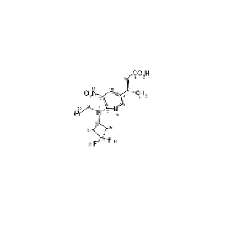 CC(=CC(=O)O)c1cnc(N(CC(C)C)C2CC(F)(F)C2)c([N+](=O)[O-])c1